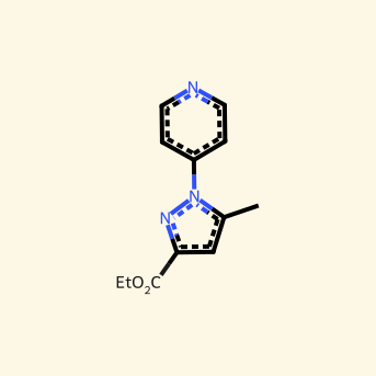 CCOC(=O)c1cc(C)n(-c2ccncc2)n1